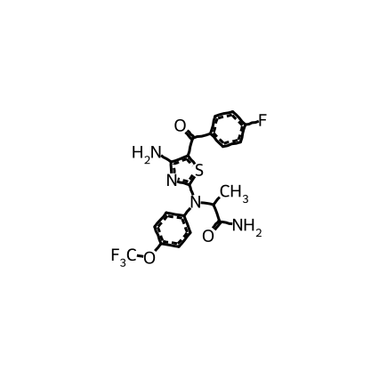 CC(C(N)=O)N(c1ccc(OC(F)(F)F)cc1)c1nc(N)c(C(=O)c2ccc(F)cc2)s1